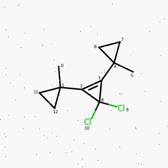 CC1(C2=C(C3(C)CC3)C2(Cl)Cl)CC1